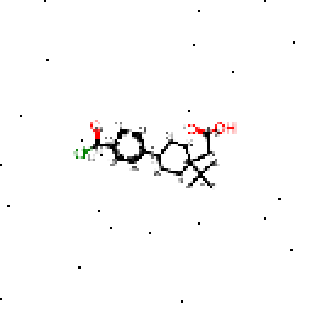 CC(C)(C)C1(CC(=O)O)CCC(c2ccc(C(=O)Cl)cc2)CC1